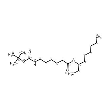 CCCCCCC(CC)OC(=O)CCCCCNC(=O)OC(C)(C)C